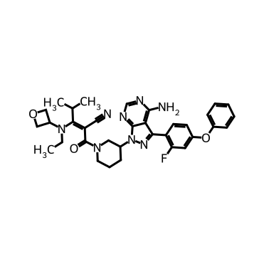 CCN(C(=C(C#N)C(=O)N1CCCC(n2nc(-c3ccc(Oc4ccccc4)cc3F)c3c(N)ncnc32)C1)C(C)C)C1COC1